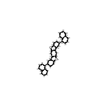 c1ccc2c(-c3ccc4oc5cc6c(cc5c4c3)oc3ccc(-c4cccc5ccccc45)cc36)cccc2c1